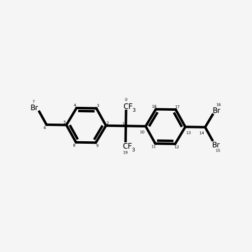 FC(F)(F)C(c1ccc(CBr)cc1)(c1ccc(C(Br)Br)cc1)C(F)(F)F